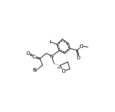 COC(=O)c1ccc(I)c(N(CC(=C=O)CBr)C[C@@H]2CCO2)c1